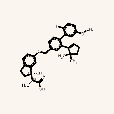 COc1ccc(F)c(-c2ccc(COc3ccc4c(c3)[C@@](C)([C@@H](C)C(=O)O)CC4)cc2C2=CCCC2(C)C)c1